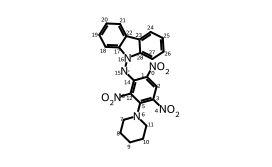 O=[N+]([O-])c1cc([N+](=O)[O-])c(N2CCCCC2)c([N+](=O)[O-])c1[N]n1c2ccccc2c2ccccc21